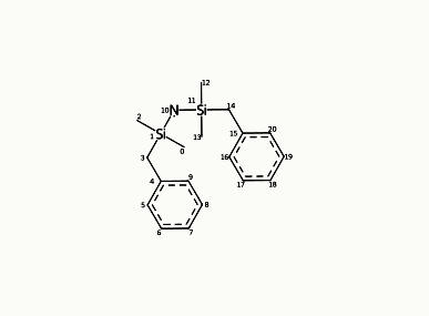 C[Si](C)(Cc1ccccc1)[N][Si](C)(C)Cc1ccccc1